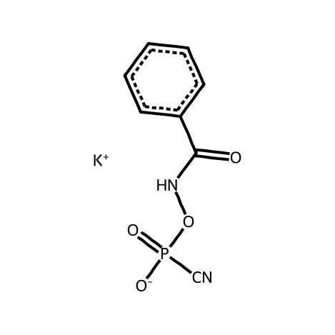 N#CP(=O)([O-])ONC(=O)c1ccccc1.[K+]